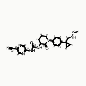 CSNCC1(c2ccc(N3CCCC(NC(=O)Nc4cnc(C#N)cn4)C3=O)cc2)CC1